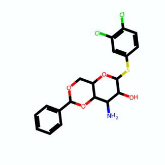 NC1C(O)C(Sc2ccc(Cl)c(Cl)c2)OC2COC(c3ccccc3)OC21